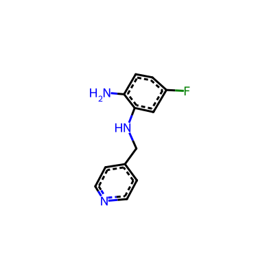 Nc1ccc(F)cc1NCc1ccncc1